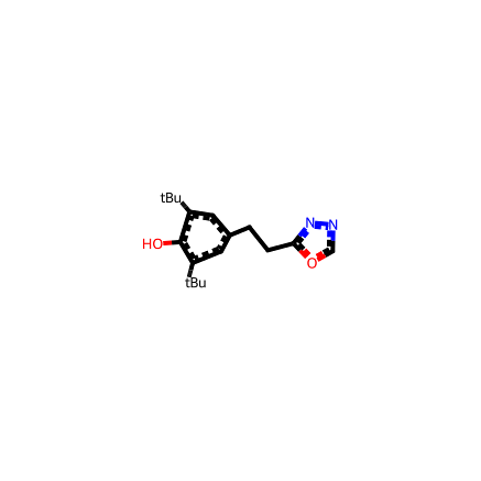 CC(C)(C)c1cc(CCc2nnco2)cc(C(C)(C)C)c1O